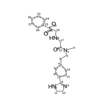 CN(CCc1ccc(C2=NCCN2)cc1)C(=O)CNCS(=O)(=O)c1ccccc1